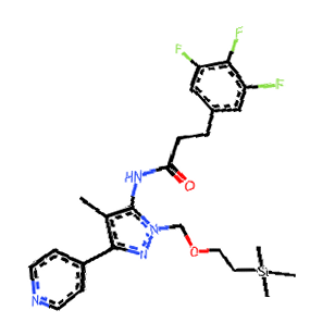 Cc1c(-c2ccncc2)nn(COCC[Si](C)(C)C)c1NC(=O)CCc1cc(F)c(F)c(F)c1